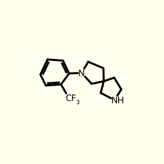 FC(F)(F)c1ccccc1N1CCC2(CCNC2)C1